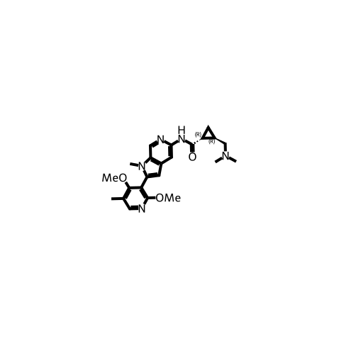 COc1ncc(C)c(OC)c1-c1cc2cc(NC(=O)[C@@H]3C[C@H]3CN(C)C)ncc2n1C